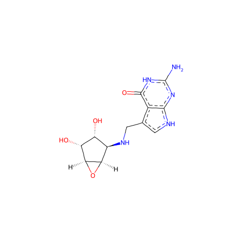 Nc1nc2[nH]cc(CN[C@@H]3[C@@H](O)[C@@H](O)[C@@H]4O[C@H]34)c2c(=O)[nH]1